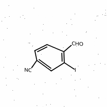 N#Cc1ccc(C=O)c(I)c1